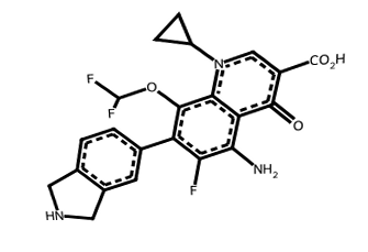 Nc1c(F)c(-c2ccc3c(c2)CNC3)c(OC(F)F)c2c1c(=O)c(C(=O)O)cn2C1CC1